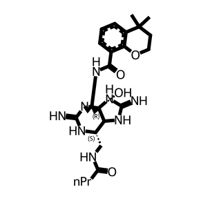 CCCC(=O)NC[C@@H]1NC(=N)N2CC(NC(=O)c3cccc4c3OCCC4(C)C)[C@@H](O)C23NC(=N)NC13